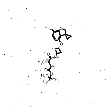 Cc1ccc(O[C@H]2C[C@H](NC(=O)[C@H](C)NC(=O)OC(C)(C)C)C2)c2c1OCC21CC1